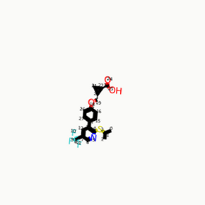 CC(C)Sc1ncc(C(F)(F)F)cc1-c1ccc(OC[C@@H]2C[C@H]2C(=O)O)cc1